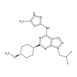 CO[C@H]1CC[C@@H](c2nc(Nc3cc(C)[nH]n3)c3cnn(CC(F)F)c3n2)CC1